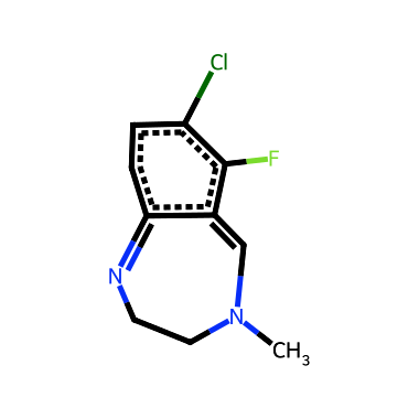 CN1C=c2c(F)c(Cl)ccc2=NCC1